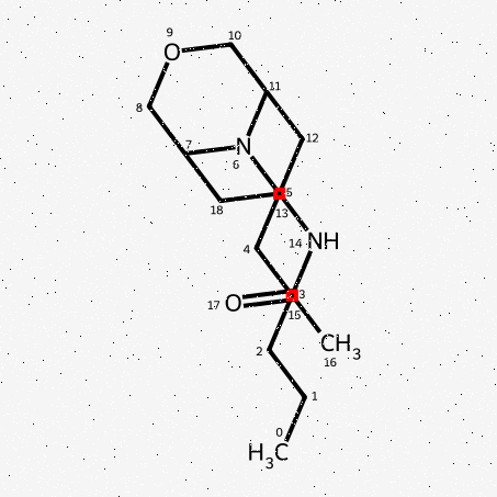 CCCCCCN1C2COCC1CC(NC(C)=O)C2